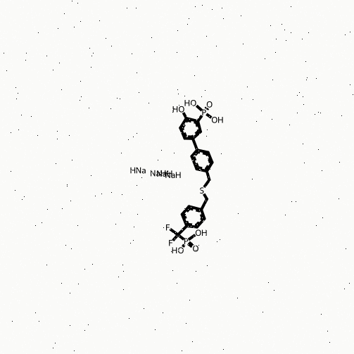 O=P(O)(O)c1cc(-c2ccc(CSCc3ccc(C(F)(F)P(=O)(O)O)cc3)cc2)ccc1O.[NaH].[NaH].[NaH].[NaH]